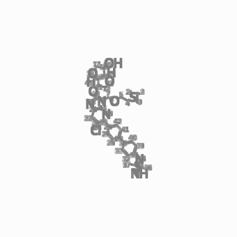 C[Si](C)(C)CCOCn1c(O[C@@H]2CO[C@H]3[C@@H]2OC[C@H]3O)nc2cc(Cl)c(-c3ccc(-c4ccc(N=S(C)(C)=N)cc4)cc3)nc21